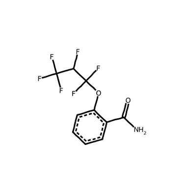 NC(=O)c1ccccc1OC(F)(F)C(F)C(F)(F)F